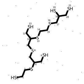 SCCSC(CS)CSCC(CS)SCCSCC(S)CS